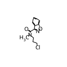 CN(CCCCl)C(=O)c1noc2ccccc12